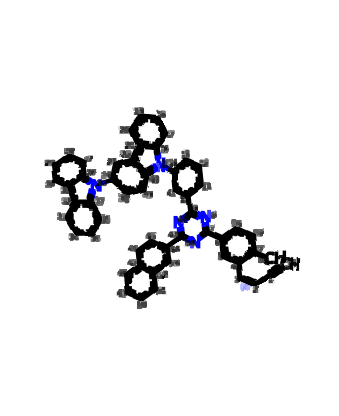 C#C/C=C\c1cc(-c2nc(-c3cccc(-n4c5ccccc5c5cc(-n6c7ccccc7c7ccccc76)ccc54)c3)nc(-c3ccc4ccccc4c3)n2)ccc1C